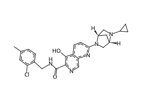 Cc1ccc(CNC(=O)c2ncc3nc(N4C[C@@H]5C[C@H]4CN5C4CC4)ccc3c2O)c(Cl)c1